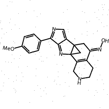 COc1ccc(C2=NC=C3C2=NC24CC32CC(=NO)C2=C4CNCC2)cc1